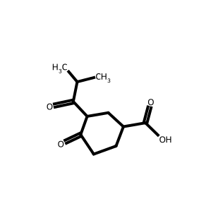 CC(C)C(=O)C1CC(C(=O)O)CCC1=O